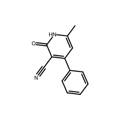 Cc1cc(-c2ccccc2)c(C#N)c(=O)[nH]1